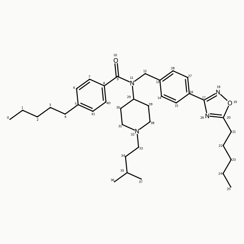 CCCCCc1ccc(C(=O)N(Cc2ccc(-c3noc(CCCCC)n3)cc2)C2CCN(CCC(C)C)CC2)cc1